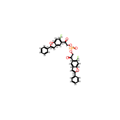 O=C(CO[PH](=O)OCC(=O)c1cc2cc(-c3ccccc3)oc2cc1F)c1cc2cc(-c3ccccc3)oc2cc1F